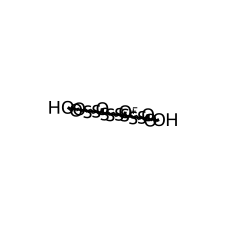 O=C(CSCCSCC[S+]([O-])CSCCSCSC(=O)CSCCSCCOOCCO)OCCO